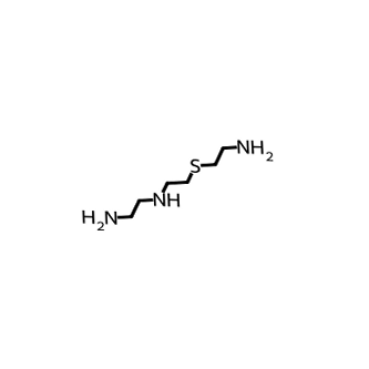 NCCNCCSCCN